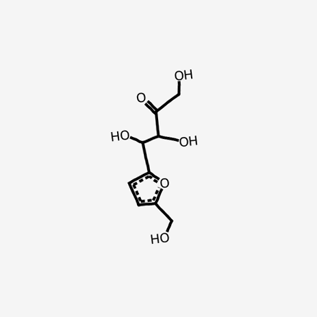 O=C(CO)C(O)C(O)c1ccc(CO)o1